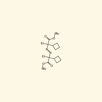 CCC(/N=N/C(CC)(C(=O)OC(C)(C)C)C1CCC1)(C(=O)OC(C)(C)C)C1CCC1